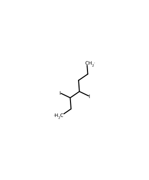 [CH2]CCC(I)C(I)C[CH2]